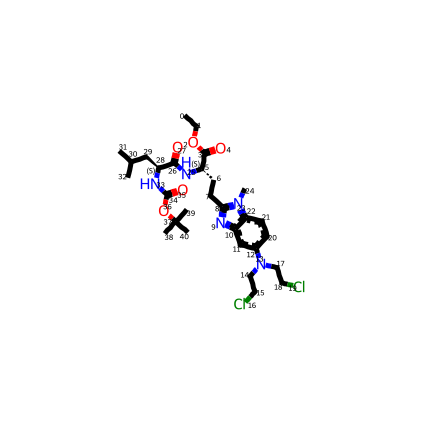 CCOC(=O)[C@H](CCc1nc2cc(N(CCCl)CCCl)ccc2n1C)NC(=O)[C@H](CC(C)C)NC(=O)OC(C)(C)C